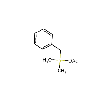 CC(=O)OS(C)(C)Cc1ccccc1